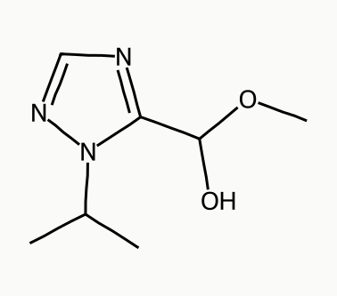 COC(O)c1ncnn1C(C)C